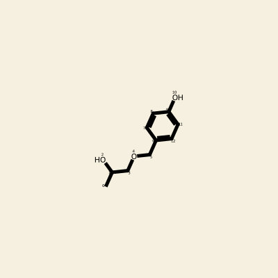 CC(O)COCc1ccc(O)cc1